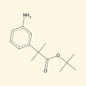 CC(C)(C)OC(=O)C(C)(C)c1cccc(N)c1